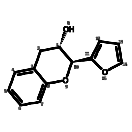 O[C@H]1Cc2ccccc2O[C@@H]1c1ccco1